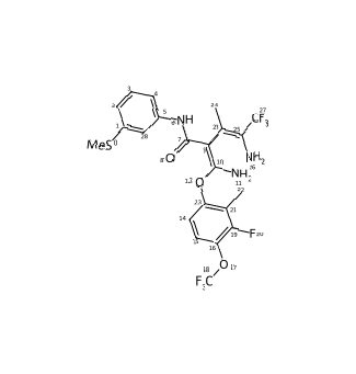 CSc1cccc(NC(=O)C(=C(/N)Oc2ccc(OC(F)(F)F)c(F)c2C)/C(C)=C(\N)C(F)(F)F)c1